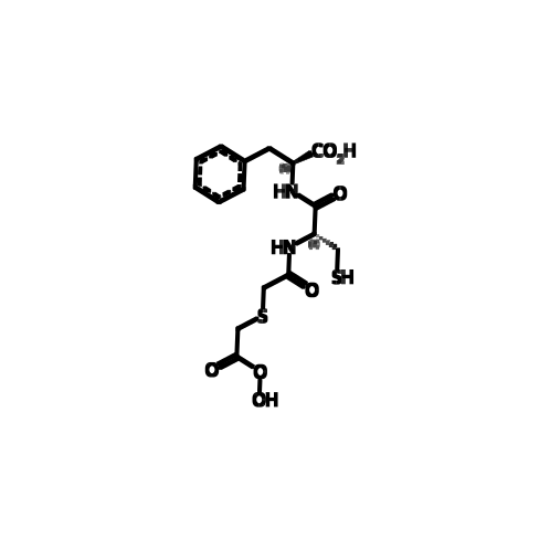 O=C(CSCC(=O)OO)N[C@@H](CS)C(=O)N[C@@H](Cc1ccccc1)C(=O)O